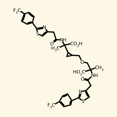 CC(COCC1CC1C(C)(NC(=O)Cc1csc(-c2ccc(C(F)(F)F)cc2)n1)C(=O)O)(NC(=O)Cc1csc(-c2ccc(C(F)(F)F)cc2)n1)C(=O)O